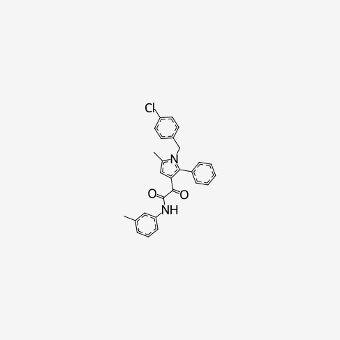 Cc1cccc(NC(=O)C(=O)c2cc(C)n(Cc3ccc(Cl)cc3)c2-c2ccccc2)c1